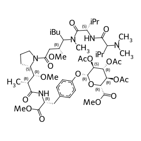 CCC(C)C([C@@H](CC(=O)N1CCC[C@H]1[C@H](OC)[C@@H](C)C(=O)N[C@H](Cc1ccc(O[C@H]2O[C@@H](C(=O)OC)[C@H](OC(C)=O)[C@@H](OC(C)=O)[C@@H]2OC(C)=O)cc1)C(=O)OC)OC)N(C)C(=O)[C@@H](NC(=O)C(C(C)C)N(C)C)C(C)C